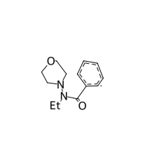 CCN(C(=O)c1[c]cccc1)N1CCOCC1